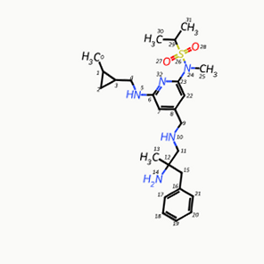 CC1CC1CNc1cc(CNCC(C)(N)Cc2ccccc2)cc(N(C)S(=O)(=O)C(C)C)n1